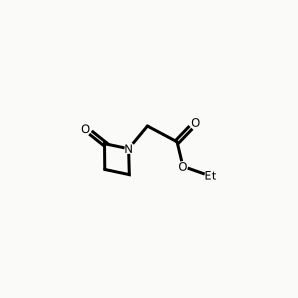 CCOC(=O)CN1CCC1=O